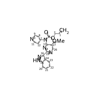 C=CCOC(=O)N(c1ccncc1)c1nc(-c2n[nH]c3ccccc23)ncc1OC